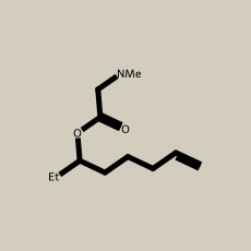 C=CCCCC(CC)OC(=O)CNC